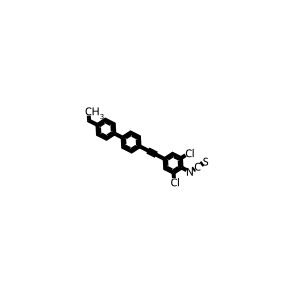 CCc1ccc(-c2ccc(C#Cc3cc(Cl)c(N=C=S)c(Cl)c3)cc2)cc1